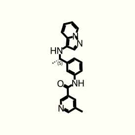 Cc1cncc(C(=O)Nc2cccc([C@H](C)Nc3cnn4ccccc34)c2)c1